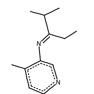 CC/C(=N\c1cnccc1C)C(C)C